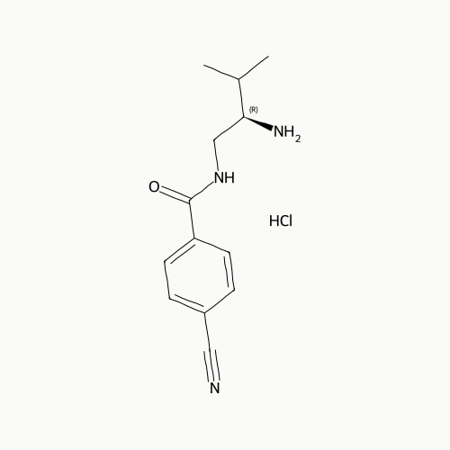 CC(C)[C@@H](N)CNC(=O)c1ccc(C#N)cc1.Cl